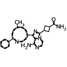 Cc1ccc(-c2nc(C3CC(C(N)=O)C3)n3ccnc(N)c23)ccnc(-c2ccccc2)cc1